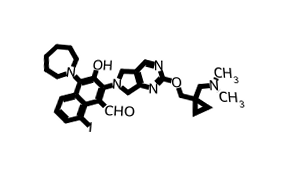 CN(C)CC1(COc2ncc3c(n2)CN(c2c(O)c(N4CCCCCC4)c4cccc(I)c4c2C=O)C3)CC1